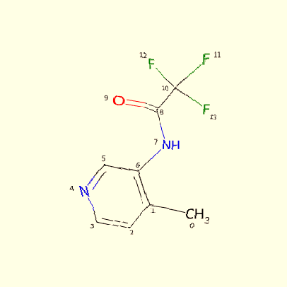 Cc1ccncc1NC(=O)C(F)(F)F